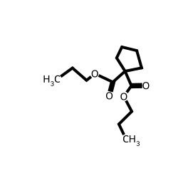 CCCOC(=O)C1(C(=O)OCCC)CCCC1